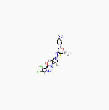 Cc1[nH]c(C(=O)NC2[C@H]3CN(c4nc(CC(=O)N5CCC(N)CC5)c(C(=O)O)s4)C[C@@H]23)c(Cl)c1Cl